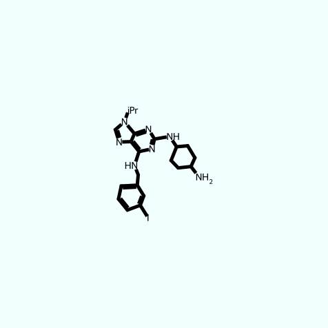 CC(C)n1cnc2c(NCc3cccc(I)c3)nc(NC3CCC(N)CC3)nc21